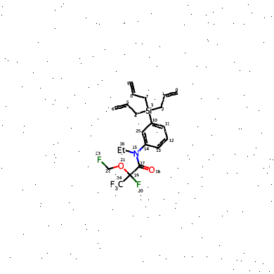 C=CC[Si](CC=C)(CC=C)c1cccc(N(CC)C(=O)C(F)(OCF)C(F)(F)F)c1